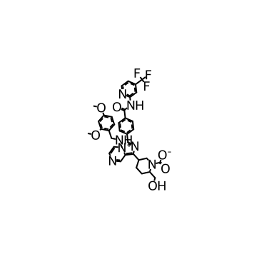 COc1ccc(CN[N+]23C=CN=CC2=C(C2CCC(CO)N(C(=O)[O-])C2)N=C3c2ccc(C(=O)Nc3cc(C(F)(F)F)ccn3)cc2)c(OC)c1